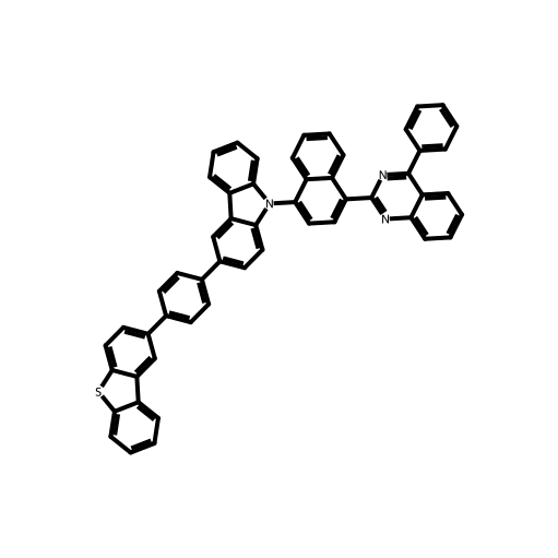 c1ccc(-c2nc(-c3ccc(-n4c5ccccc5c5cc(-c6ccc(-c7ccc8sc9ccccc9c8c7)cc6)ccc54)c4ccccc34)nc3ccccc23)cc1